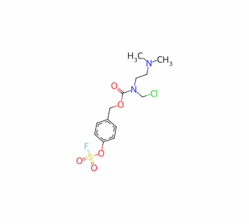 CN(C)CCN(CCl)C(=O)OCc1ccc(OS(=O)(=O)F)cc1